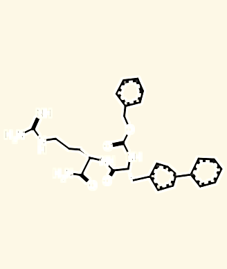 N=C(N)NCCC[C@@H](NC(=O)[C@@H](Cc1ccc(-c2ccccc2)cc1)NC(=O)OCc1ccccc1)C(N)=O